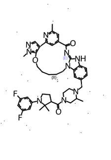 Cc1cc2cc(n1)-c1cnn(C)c1OCCC[C@@H](C)CN1/C(=N/C2=O)Nc2ccc(CN3CCN(C(=O)C4CCN(c5cc(F)cc(F)c5)C4(C)C)CC3C)cc21